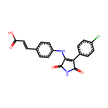 O=C(O)/C=C/c1ccc(NC2=C(c3ccc(Cl)cc3)C(=O)NC2=O)cc1